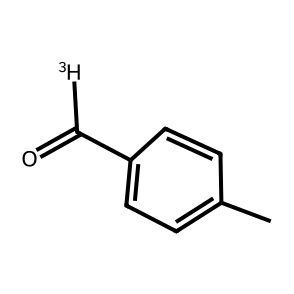 [3H]C(=O)c1ccc(C)cc1